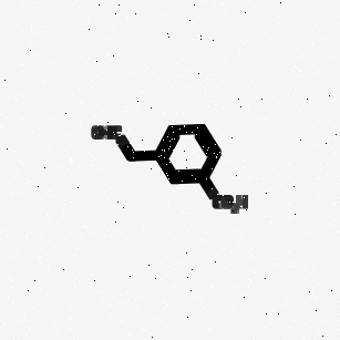 O=CCc1cccc(C(=O)O)c1